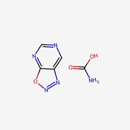 NC(=O)O.c1ncc2nnoc2n1